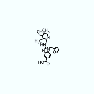 CCc1c(C)cnc(CNc2nc3cc(C(=O)O)ccc3n2Cc2ccco2)c1C